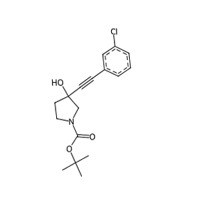 CC(C)(C)OC(=O)N1CCC(O)(C#Cc2cccc(Cl)c2)C1